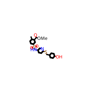 COC(=O)c1cc(S(=O)(=O)Nc2ccc(SCc3ccc(O)cc3)nc2)ccc1C